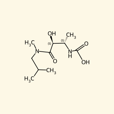 CC(C)CN(C)C(=O)[C@@H](O)[C@H](C)NC(=O)O